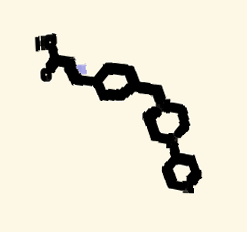 O=C(O)/C=C/C1C=CC(=CN2CCN(c3ccncc3)CC2)C=C1